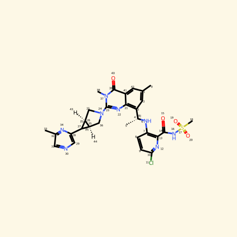 Cc1cc([C@@H](C)Nc2ccc(Cl)nc2C(=O)NS(C)(=O)=O)c2nc(N3C[C@@H]4C(c5cncc(C)n5)[C@@H]4C3)n(C)c(=O)c2c1